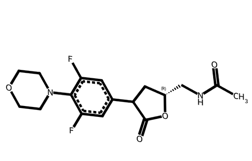 CC(=O)NC[C@H]1CC(c2cc(F)c(N3CCOCC3)c(F)c2)C(=O)O1